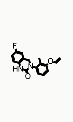 C=COc1cccc(N2Cc3cc(F)ccc3NC2=O)c1C